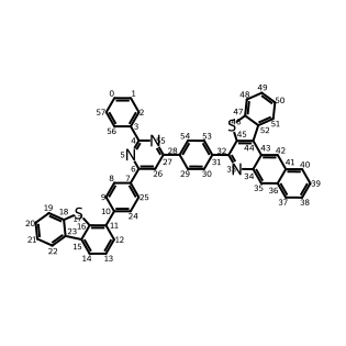 c1ccc(-c2nc(-c3ccc(-c4cccc5c4sc4ccccc45)cc3)cc(-c3ccc(-c4nc5cc6ccccc6cc5c5c4sc4ccccc45)cc3)n2)cc1